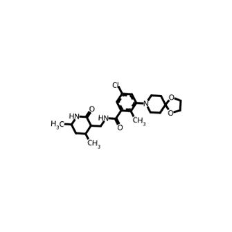 Cc1c(C(=O)NCC2C(=O)NC(C)CC2C)cc(Cl)cc1N1CCC2(CC1)OCCO2